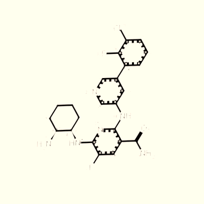 NC(=O)c1cc(F)c(N[C@@H]2CCCC[C@@H]2N)nc1Nc1cncc(-c2cccc(Cl)c2F)c1